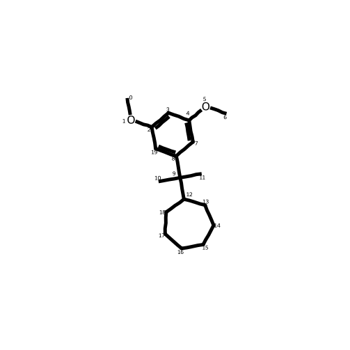 COc1cc(OC)cc(C(C)(C)C2CCCCCC2)c1